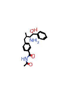 CC(=O)NC(=O)c1ccc(CC(C)[C@@H](N)[C@H](O)c2ccccc2)cc1